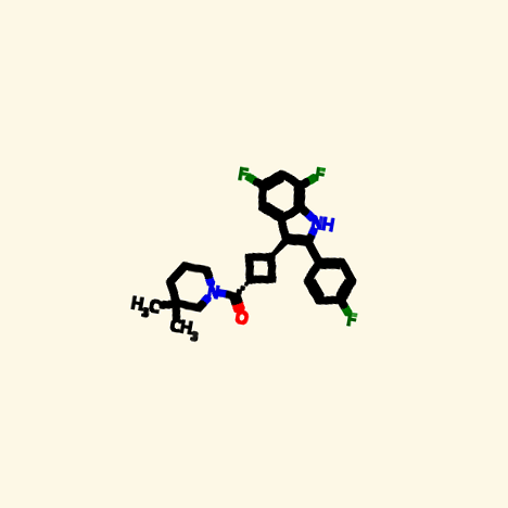 CC1(C)CCCN(C(=O)[C@H]2C[C@H](c3c(-c4ccc(F)cc4)[nH]c4c(F)cc(F)cc43)C2)C1